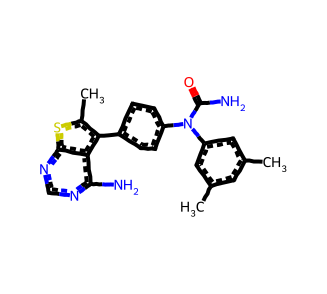 Cc1cc(C)cc(N(C(N)=O)c2ccc(-c3c(C)sc4ncnc(N)c34)cc2)c1